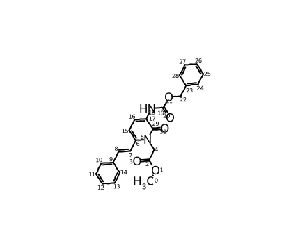 COC(=O)Cn1c(C=Cc2ccccc2)ccc(NC(=O)OCc2ccccc2)c1=O